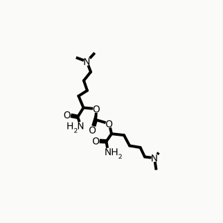 CN(C)CCCCC(OC(=O)OC(CCCCN(C)C)C(N)=O)C(N)=O